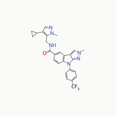 Cn1cc2c3cc(C(=O)NCc4c(C5CC5)cnn4C)ccc3n(-c3ccc(C(F)(F)F)cc3)c2n1